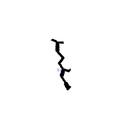 C#C/C=C(\C)CCC=C(C)C